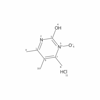 Cc1nc(O)[n+]([O-])c(C)c1C.Cl